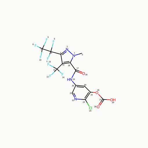 Cn1nc(C(F)(F)C(F)(F)F)c(C(F)(F)F)c1C(=O)Nc1cnc(Cl)c(OC(=O)O)c1